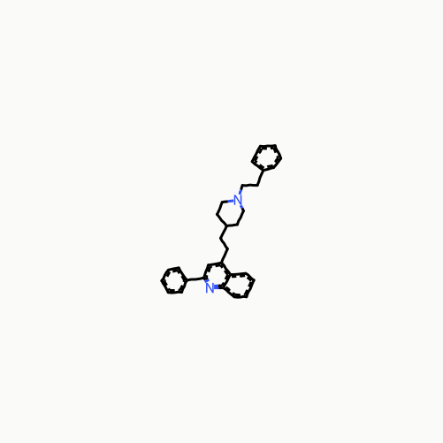 c1ccc(CCN2CCC(CCc3cc(-c4ccccc4)nc4ccccc34)CC2)cc1